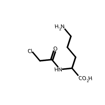 NCCCC(NC(=O)CCl)C(=O)O